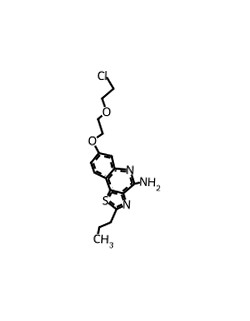 CCCc1nc2c(N)nc3cc(OCCOCCCl)ccc3c2s1